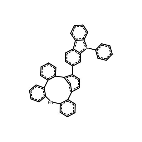 c1ccc(-n2c3ccccc3c3ccc(-c4ccc5cc4-c4ccccc4-c4ccccc4Nc4ccccc4-5)cc32)cc1